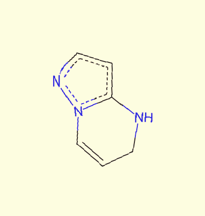 C1=Cn2nccc2NC1